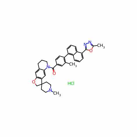 Cc1nnc(-c2cccc3c(-c4ccc(C(=O)N5CCCc6cc7c(cc65)C5(CCN(C)CC5)CO7)cc4C)cccc23)o1.Cl